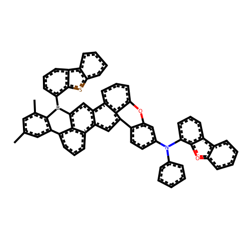 Cc1cc(C)c2c(c1)-c1cccc3c1c(cc1c4cccc5c4c(cc31)-c1ccc(N(c3ccccc3)c3cccc4c3oc3ccccc34)cc1O5)B2c1cccc2c1sc1ccccc12